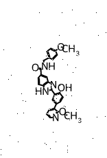 COc1ccc(CNC(=O)c2ccc3[nH]c(-c4cc(-c5cccnc5OC)ccc4O)nc3c2)cc1